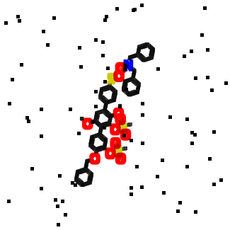 COc1cc(-c2ccc(SOON(Cc3ccccc3)Cc3ccccc3)cc2)c(OC)c(OS(C)(=O)=O)c1-c1ccc(OCc2ccccc2)c(OS(C)(=O)=O)c1